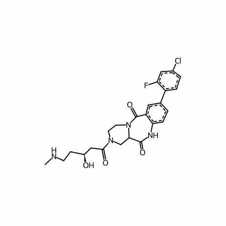 CNCC[C@H](O)CC(=O)N1CCN2C(=O)c3cc(-c4ccc(Cl)cc4F)ccc3NC(=O)C2C1